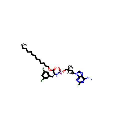 CCCCCCCCCCCCCCCCCCCCCCOC(=O)[C@H](Cc1cc(F)cc(F)c1)N[PH](=O)OC[C@](C)(CCn1cnc2c(N)nc(F)nc21)OC